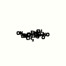 CCC(CC)(c1ccc(OCC(N=O)C(C)(C)C)c(C)c1)c1cc(C)c(S(=O)(=O)CCC(=O)N=O)s1